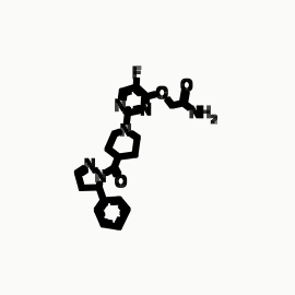 NC(=O)COc1nc(N2CCC(C(=O)N3N=CCC3c3ccccc3)CC2)ncc1F